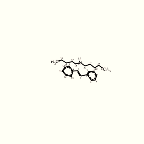 C(=Cc1ccccc1)c1ccccc1.CCCCCNCCCCC